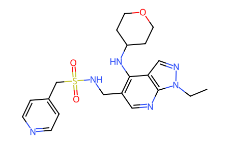 CCn1ncc2c(NC3CCOCC3)c(CNS(=O)(=O)Cc3ccncc3)cnc21